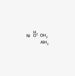 O.O.[AlH3].[Ni]